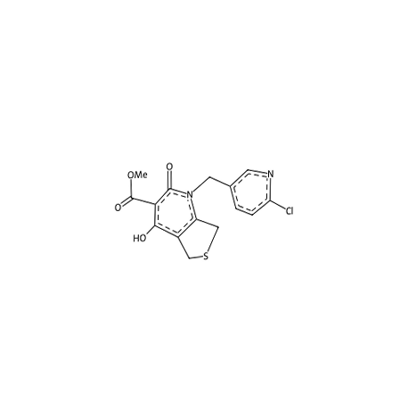 COC(=O)c1c(O)c2c(n(Cc3ccc(Cl)nc3)c1=O)CSC2